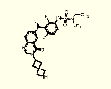 CCN(C)S(=O)(=O)Nc1ccc(F)c(C(=O)c2ccc3ncn(C4CC5(CNC5)C4)c(=O)c3c2)c1F